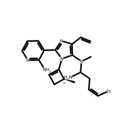 C=Cc1nc(-c2cccnc2N)n(C2=CC[C@@H]2C)c1N(C)C(N)C/C=C\CC